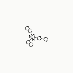 c1ccc(-c2ccc(-c3nc(-c4ccc5ccccc5c4)nc(-c4cccc5ccccc45)n3)cc2)cc1